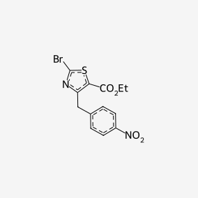 CCOC(=O)c1sc(Br)nc1Cc1ccc([N+](=O)[O-])cc1